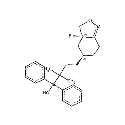 CC[C@]12CON=C1CC[C@@H](CCC(C)(C)[Si](O)(c1ccccc1)c1ccccc1)C2